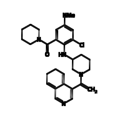 C=C(c1cncc2c1=CCCC=2)N1CCCC(Nc2c(Cl)cc(NC)cc2C(=O)N2CCCCC2)C1